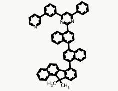 CC1(C)c2cccc(-c3ccc(-c4ccc(-c5nc(-c6ccccc6)cc(-c6cccc(-c7cccnc7)c6)n5)c5ccccc45)c4ccccc34)c2-c2ccc3ccccc3c21